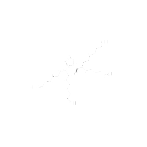 CCCCCCCC(CCCCCC)C(=O)[C@@H]1COCN1C(CCCCCCC)CCCCCCC